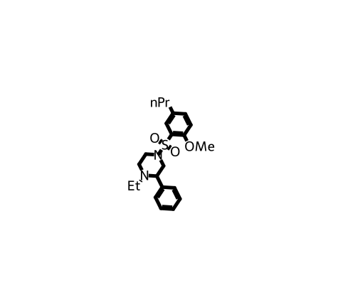 CCCc1ccc(OC)c(S(=O)(=O)N2CCN(CC)C(c3ccccc3)C2)c1